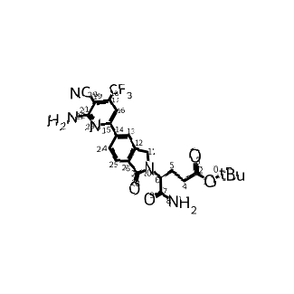 CC(C)(C)OC(=O)CC[C@@H](C(N)=O)N1Cc2cc(-c3cc(C(F)(F)F)c(C#N)c(N)n3)ccc2C1=O